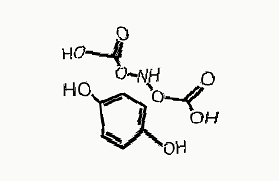 O=C(O)ONOC(=O)O.Oc1ccc(O)cc1